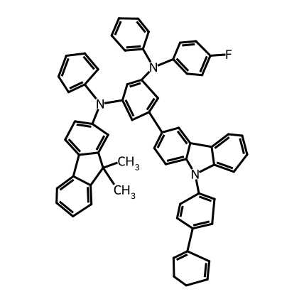 CC1(C)c2ccccc2-c2ccc(N(c3ccccc3)c3cc(-c4ccc5c(c4)c4ccccc4n5-c4ccc(C5=CCCC=C5)cc4)cc(N(c4ccccc4)c4ccc(F)cc4)c3)cc21